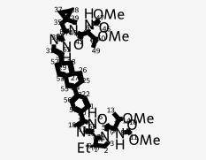 CC[C@@H]1CCN(C(=O)[C@@H](NC(=O)OC)C(C)OC)[C@@H]1c1ncc(-c2ccc(-c3ccc4cc(-c5cnc([C@@H]6CC7(CC7)CN6C(=O)C(NC(=O)OC)[C@H](C)OC)[nH]5)ccc4c3)cc2)[nH]1